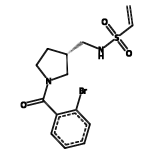 C=CS(=O)(=O)NC[C@H]1CCN(C(=O)c2ccccc2Br)C1